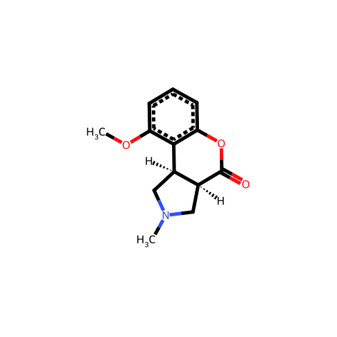 COc1cccc2c1[C@@H]1CN(C)C[C@@H]1C(=O)O2